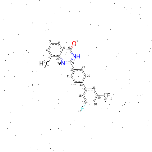 Cc1cccc2c(=O)[nH]c(-c3ccc(-c4cc(F)cc(C(F)(F)F)c4)cc3)nc12